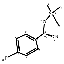 C[Si](C)(C)O[C@@H](C#N)c1ccc(F)cc1